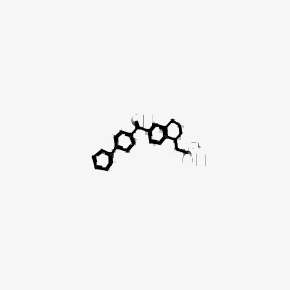 C=C(c1ccc(-c2ccccc2)cc1)c1ccc2c(c1)CCCC2CC(=O)O